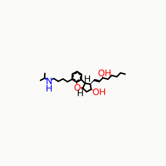 CCCCC[C@H](O)/C=C/[C@@H]1[C@H]2c3cccc(CCCCNC(C)C)c3O[C@H]2C[C@H]1O